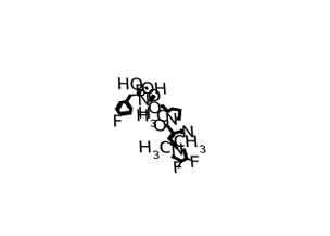 CC(C)(C=C(C#N)C(=O)N1CCC[C@]1(C)COC(=O)N[C@@H](Cc1ccc(F)cc1)B(O)O)N1C[C@@H](F)[C@@H](F)C1